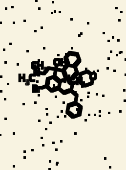 CN(C)CCC(O)(c1cccc2ccccc12)c1cc(Br)cc2cc(Cc3ccccc3)c(N3CCOCC3)nc12